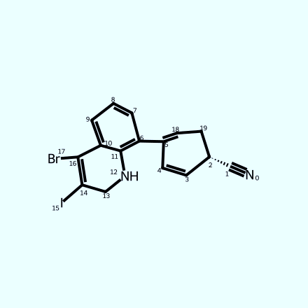 N#C[C@@H]1C=CC(c2cccc3c2NCC(I)=C3Br)=CC1